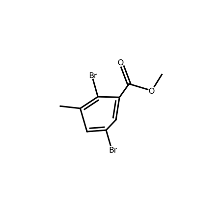 COC(=O)c1cc(Br)cc(C)c1Br